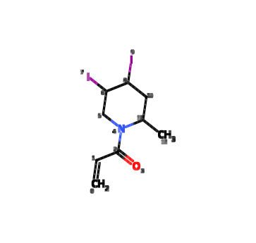 C=CC(=O)N1CC(I)C(I)CC1C